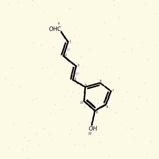 O=C/C=C/C=C/c1cccc(O)c1